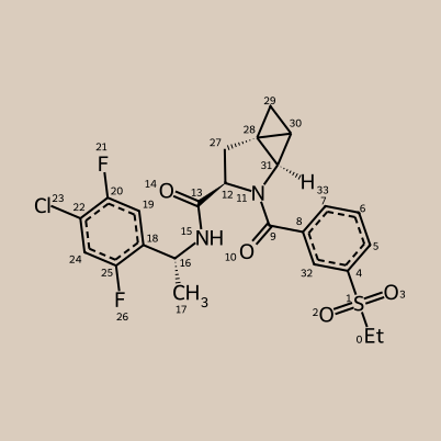 CCS(=O)(=O)c1cccc(C(=O)N2[C@@H](C(=O)N[C@H](C)c3cc(F)c(Cl)cc3F)C[C@]34CC3[C@@H]24)c1